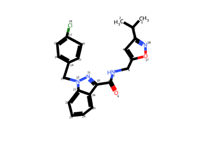 CC(C)c1cc(CNC(=O)c2nn(Cc3ccc(Cl)cc3)c3ccccc23)on1